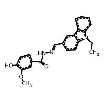 CCn1c2ccccc2c2cc(/C=N/NC(=O)c3ccc(O)c(OC)c3)ccc21